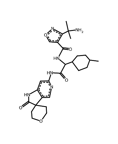 CC1CCC(C(NC(=O)c2conc2C(C)(C)N)C(=O)Nc2cc3c(cn2)C2(CCOCC2)C(=O)N3)CC1